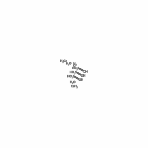 O.O.O.O=S(=O)(O)O.O=S(=O)(O)O.O=S(=O)(O)O.[CaH2].[CaH2]